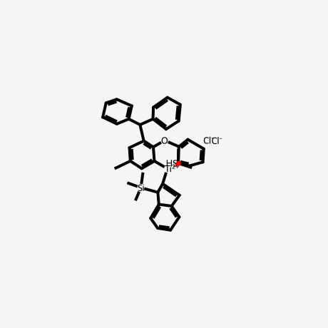 Cc1cc(C(c2ccccc2)c2ccccc2)c(Oc2ccccc2)[c]([Ti+2]([C]2=Cc3ccccc3C2[Si](C)(C)C)[SiH](C)C)c1.[Cl-].[Cl-]